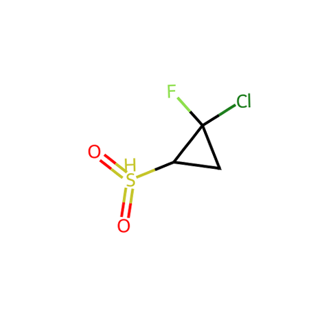 O=[SH](=O)C1CC1(F)Cl